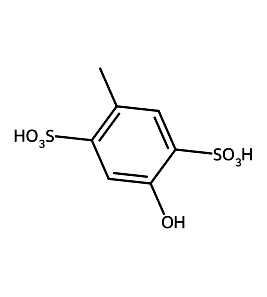 Cc1cc(S(=O)(=O)O)c(O)cc1S(=O)(=O)O